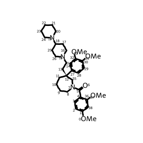 COc1ccc(C(=O)N2CCCC[C@](CCN3CCC(N4CCCCC4)CC3)(c3ccc(OC)c(OC)c3)C2)c(OC)c1